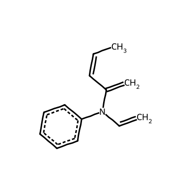 C=CN(C(=C)/C=C\C)c1ccccc1